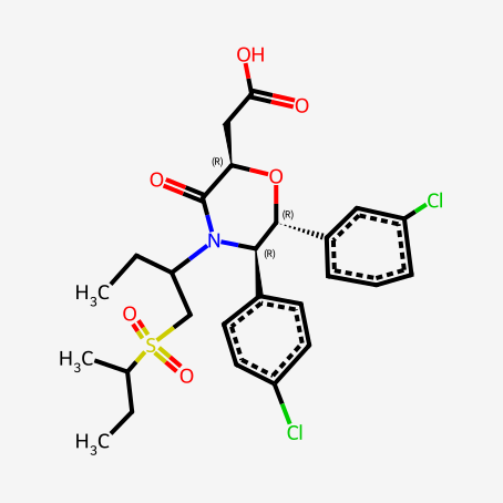 CCC(CS(=O)(=O)C(C)CC)N1C(=O)[C@@H](CC(=O)O)O[C@H](c2cccc(Cl)c2)[C@H]1c1ccc(Cl)cc1